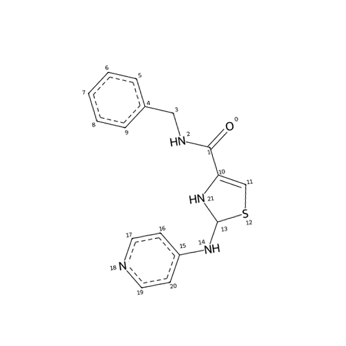 O=C(NCc1ccccc1)C1=CSC(Nc2ccncc2)N1